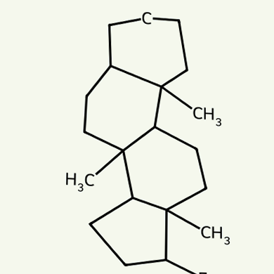 CC12CCC3C4(C)CCCCC4CCC3(C)C1CCC2F